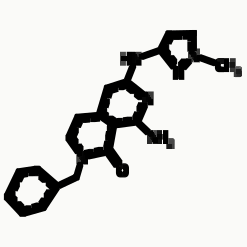 Cn1ccc(Nc2cc3ccn(Cc4ccccc4)c(=O)c3c(N)n2)n1